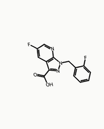 O=C(O)c1nn(Cc2ccccc2F)c2ncc(F)cc12